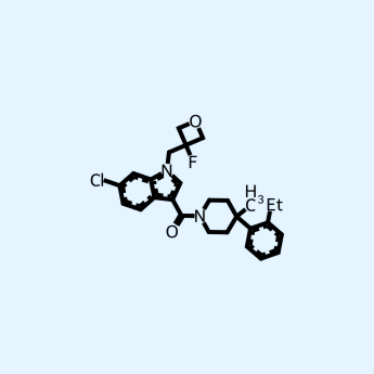 CCc1ccccc1C1(C)CCN(C(=O)c2cn(CC3(F)COC3)c3cc(Cl)ccc23)CC1